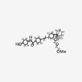 COCCOCOc1cc(C#Cc2ccc(C(=O)Nc3ccc(O)cc3)cc2)ccc1C12CC3CC(CC(C3)C1)C2